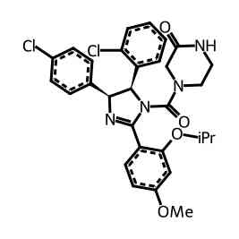 COc1ccc(C2=N[C@@H](c3ccc(Cl)cc3)[C@@H](c3ccccc3Cl)N2C(=O)N2CCNC(=O)C2)c(OC(C)C)c1